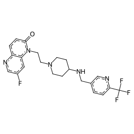 O=c1ccc2ncc(F)cc2n1CCN1CCC(NCc2ccc(C(F)(F)F)nc2)CC1